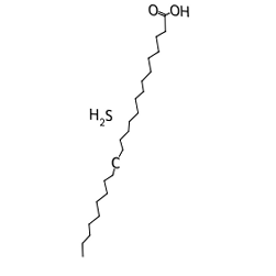 CCCCCCCCCCCCCCCCCCCCCCCC(=O)O.S